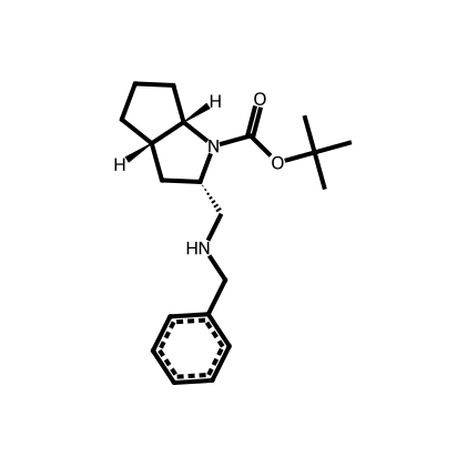 CC(C)(C)OC(=O)N1[C@H](CNCc2ccccc2)C[C@@H]2CCC[C@@H]21